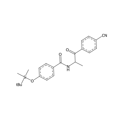 CC(NC(=O)c1ccc(O[Si](C)(C)C(C)(C)C)cc1)C(=O)c1ccc(C#N)cc1